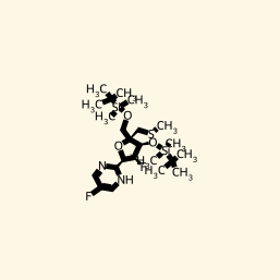 CSC[C@]1(CO[Si](C)(C)C(C)(C)C)O[C@H](C2N=CC(F)=CN2)[C@H](F)[C@@H]1O[Si](C)(C)C(C)(C)C